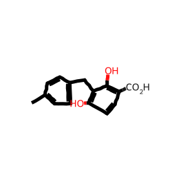 Cc1ccc(Cc2c(O)ccc(C(=O)O)c2O)cc1